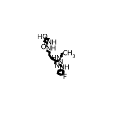 CCCNc1nc(Nc2cccc(F)c2)ncc1C#CCCCNC(=O)[C@@H]1C[C@H](O)CN1